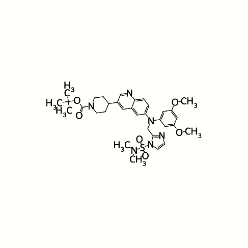 COc1cc(OC)cc(N(Cc2nccn2S(=O)(=O)N(C)C)c2ccc3ncc(C4CCN(C(=O)OC(C)(C)C)CC4)cc3c2)c1